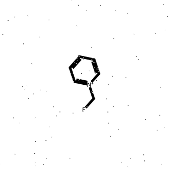 FC[n+]1ccccc1